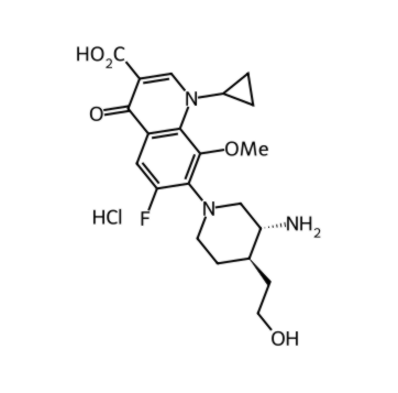 COc1c(N2CC[C@H](CCO)[C@@H](N)C2)c(F)cc2c(=O)c(C(=O)O)cn(C3CC3)c12.Cl